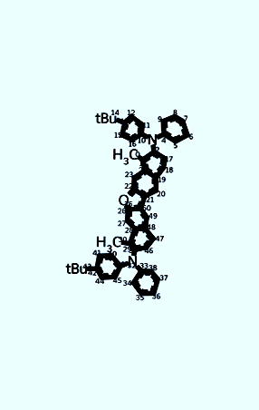 Cc1c(N(c2ccccc2)c2ccc(C(C)(C)C)cc2)ccc2cc3c(cc12)oc1cc2c(C)c(N(c4ccccc4)c4ccc(C(C)(C)C)cc4)ccc2cc13